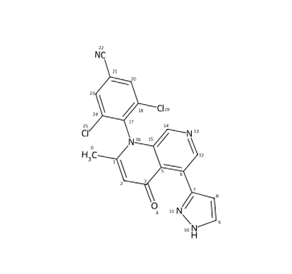 Cc1cc(=O)c2c(-c3cc[nH]n3)cncc2n1-c1c(Cl)cc(C#N)cc1Cl